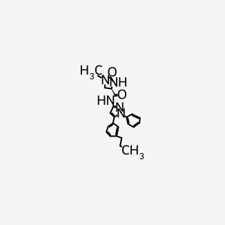 CCCc1cccc(-c2cc(NC(=O)[C@H]3CN(CC)C(=O)N3)nn2-c2ccccc2)c1